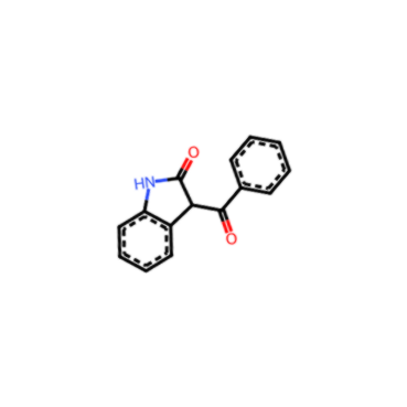 O=C1Nc2ccccc2C1C(=O)c1ccccc1